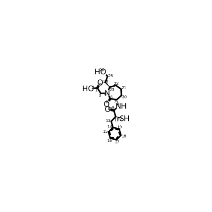 O=C(O)CN1C(=O)[C@@H](NC(=O)[C@@H](S)Cc2ccccc2)CCC[C@@H]1CCO